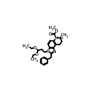 CCOC(CCn1c(Cc2ccccc2)nc2c3c(ccc21)N(C(=O)OC)[C@@H](C)CC3)OCC